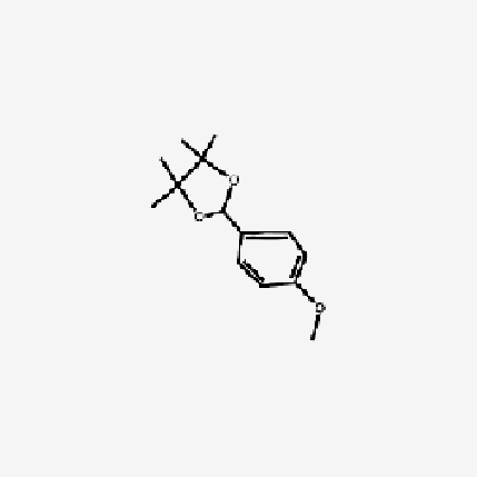 COc1ccc(C2OC(C)(C)C(C)(C)O2)cc1